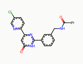 CC(C)C(=O)NCc1cccc(-c2nc(-c3ccc(Cl)cn3)cc(=O)[nH]2)c1